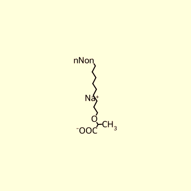 CCCCCCCCCCCCCCCCCCOC(C)C(=O)[O-].[Na+]